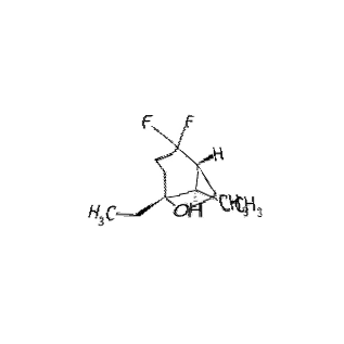 CC[C@]12CC(F)(F)[C@H]([C@H](C)O1)[C@H]2C